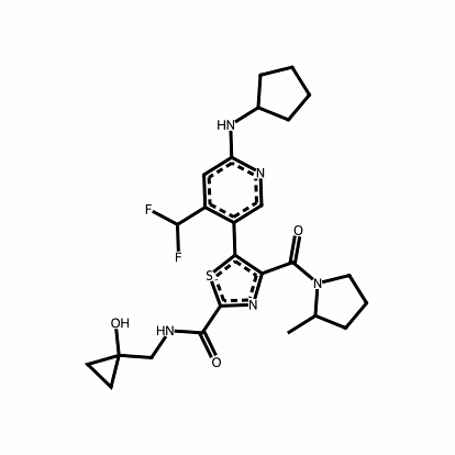 CC1CCCN1C(=O)c1nc(C(=O)NCC2(O)CC2)sc1-c1cnc(NC2CCCC2)cc1C(F)F